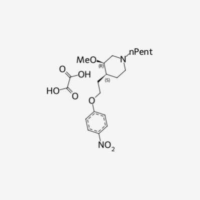 CCCCCN1CC[C@@H](CCOc2ccc([N+](=O)[O-])cc2)[C@@H](OC)C1.O=C(O)C(=O)O